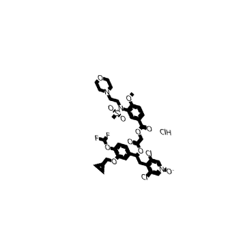 COc1ccc(C(=O)OCC(=O)OC(Cc2c(Cl)c[n+]([O-])cc2Cl)c2ccc(OC(F)F)c(OCC3CC3)c2)cc1N(CCN1CCOCC1)S(C)(=O)=O.Cl